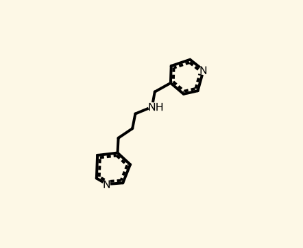 c1cc(CCCNCc2ccncc2)ccn1